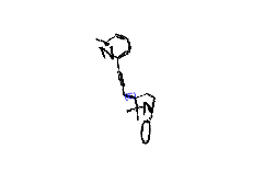 Cc1cccc(C#C/C=C2\CCN(C=O)C2(C)C)n1